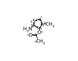 CC(=O)Oc1c(C)csc1N